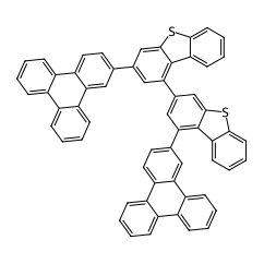 c1ccc2c(c1)sc1cc(-c3ccc4c5ccccc5c5ccccc5c4c3)cc(-c3cc(-c4ccc5c6ccccc6c6ccccc6c5c4)c4c(c3)sc3ccccc34)c12